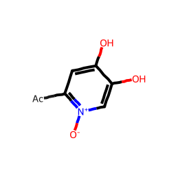 CC(=O)c1cc(O)c(O)c[n+]1[O-]